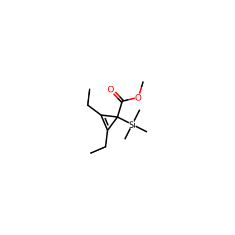 CCC1=C(CC)C1(C(=O)OC)[Si](C)(C)C